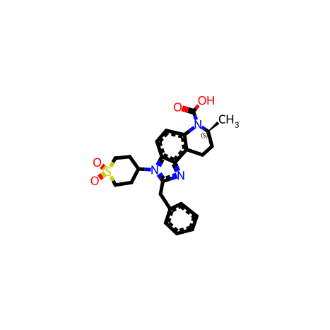 C[C@H]1CCc2c(ccc3c2nc(Cc2ccccc2)n3C2CCS(=O)(=O)CC2)N1C(=O)O